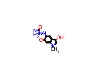 CN1CC(O)C2=C/C(=N/NC(N)=O)C(=O)C=C21